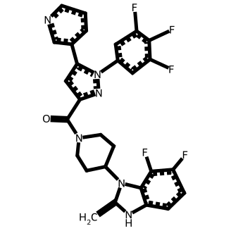 C=C1Nc2ccc(F)c(F)c2N1C1CCN(C(=O)c2cc(-c3cccnc3)n(-c3cc(F)c(F)c(F)c3)n2)CC1